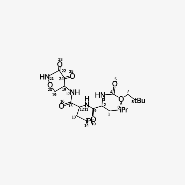 CC(C)CC(NC(=O)OCC(C)(C)C)C(=O)NC(CC(C)C)C(=O)NC1CONC(=O)C1=O